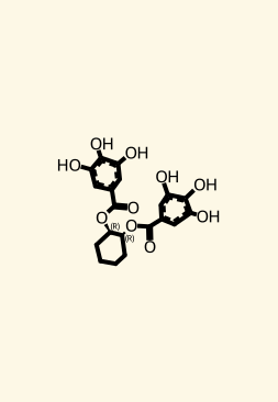 O=C(O[C@@H]1CCCC[C@H]1OC(=O)c1cc(O)c(O)c(O)c1)c1cc(O)c(O)c(O)c1